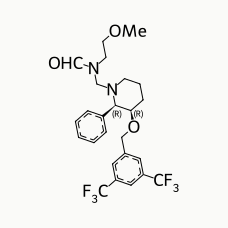 COCCN(C=O)CN1CCC[C@@H](OCc2cc(C(F)(F)F)cc(C(F)(F)F)c2)[C@H]1c1ccccc1